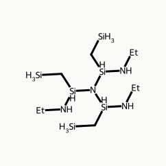 CCN[SiH](C[SiH3])N([SiH](C[SiH3])NCC)[SiH](C[SiH3])NCC